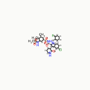 Cc1cc(S(=O)(=O)NC(=O)c2c(-c3ccc[nH]c3=O)c3cc(Cl)ccc3n2Cc2ccccc2F)cc(NS(C)(=O)=O)c1C